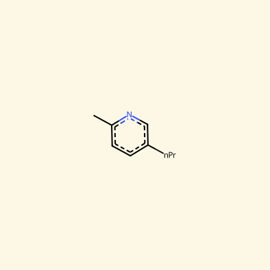 CCCc1ccc(C)nc1